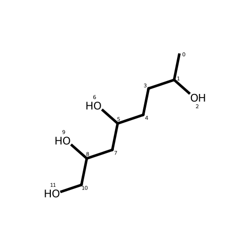 CC(O)CCC(O)CC(O)CO